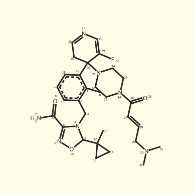 Cc1c(CN2C(C(N)=O)=NOC2C2(C)CC2)cccc1C1(N2CCN(C(=O)C=CCN(C)C)CC2)CC=NC=C1F